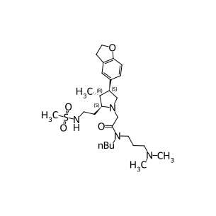 CCCCN(CCCN(C)C)C(=O)CN1C[C@H](c2ccc3c(c2)CCO3)[C@@H](C)[C@@H]1CCNS(C)(=O)=O